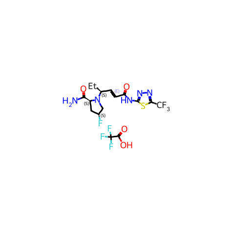 CC[C@@H](/C=C/C(=O)Nc1nnc(C(F)(F)F)s1)N1C[C@@H](F)C[C@H]1C(N)=O.O=C(O)C(F)(F)F